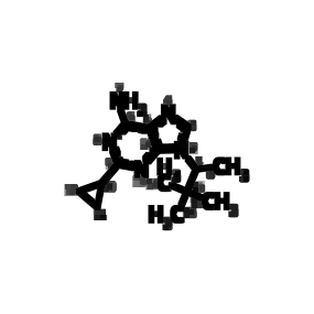 CC(n1cnc2c(N)nc(C3CC3)nc21)C(C)(C)C